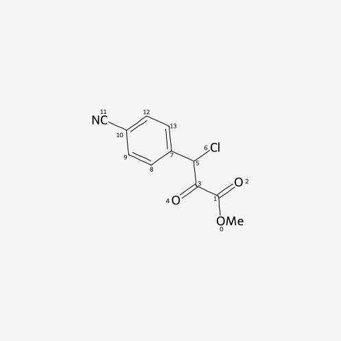 COC(=O)C(=O)C(Cl)c1ccc(C#N)cc1